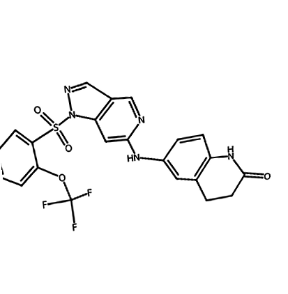 O=C1CCc2cc(Nc3cc4c(cn3)cnn4S(=O)(=O)c3ccccc3OC(F)(F)F)ccc2N1